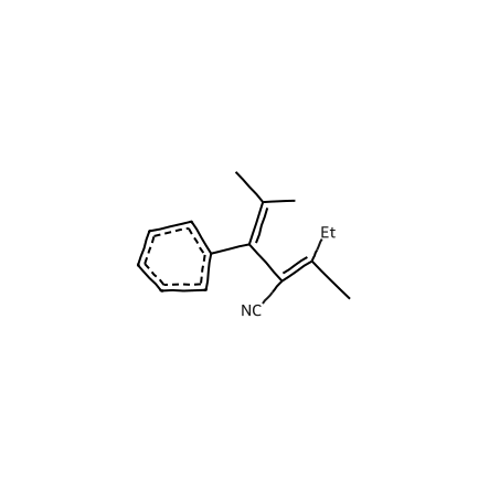 CC/C(C)=C(/C#N)C(=C(C)C)c1ccccc1